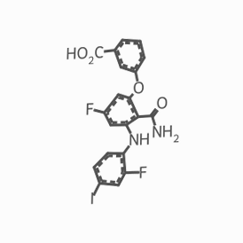 NC(=O)c1c(Nc2ccc(I)cc2F)cc(F)cc1Oc1cccc(C(=O)O)c1